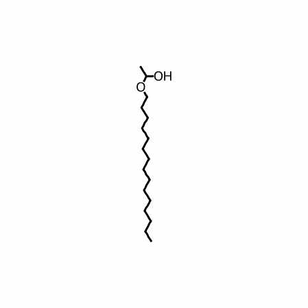 CCCCCCCCCCCCCCCOC(C)O